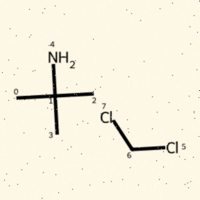 CC(C)(C)N.ClCCl